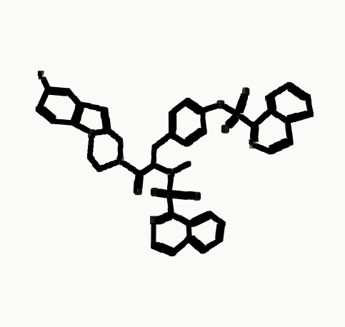 CN(C(Cc1ccc(OS(=O)(=O)c2nccc3ccccc23)cc1)C(=O)N1CCn2c(cc3cc(F)ccc32)C1)S(=O)(=O)c1nccc2ccccc12